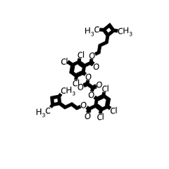 CC1CC(C)C1CCCOC(=O)c1c(Cl)c(Cl)cc(Cl)c1OC(=O)C(=O)Oc1c(Cl)cc(Cl)c(Cl)c1C(=O)OCCCC1C(C)CC1C